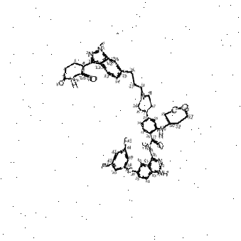 Cn1nc(C2CCC(=O)NC2=O)c2ccc(CCCN3CCN(c4ccc(C(=O)Nc5n[nH]c6ccc(Cc7cc(F)cc(F)c7)cc56)c(NC5CCOCC5)c4)CC3)cc21